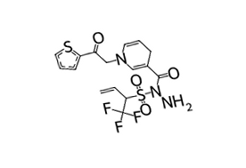 C=CC(C(F)(F)F)S(=O)(=O)N(N)C(=O)C1=CN(CC(=O)c2cccs2)C=CC1